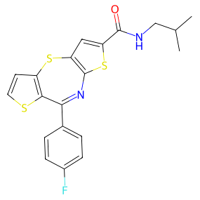 CC(C)CNC(=O)c1cc2c(s1)N=C(c1ccc(F)cc1)c1sccc1S2